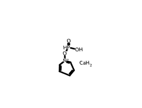 O=[PH](O)O[n+]1ccccc1.[CaH2]